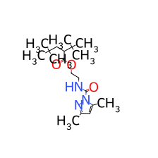 Cc1cc(C)n(C(=O)NCCOC(=O)C(CC(C)(C)C)C(C)(C)C)n1